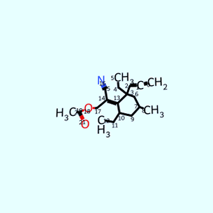 C=C=CC1(CC)CC(C)CC(CC)C1=C(C#N)COC(C)=O